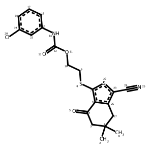 CC1(C)CC(=O)c2c(SCCOC(=O)Nc3cccc(Cl)c3)sc(C#N)c2C1